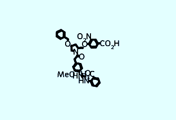 COc1cc(CC(=O)N2CC(OCc3ccccc3)CC2COc2ccc(C(=O)O)cc2[N+](=O)[O-])ccc1NC(=O)Nc1ccccc1C